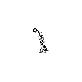 CCO[Si](OCC)(OCC)OC(C)OC(C)OC(C)OC(C)OC(C)OCCc1ccccc1